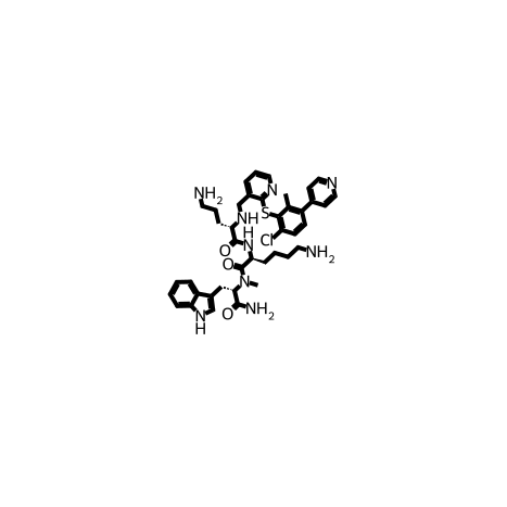 Cc1c(-c2ccncc2)ccc(Cl)c1Sc1ncccc1CN[C@@H](CCCN)C(=O)N[C@@H](CCCCN)C(=O)N(C)[C@@H](Cc1c[nH]c2ccccc12)C(N)=O